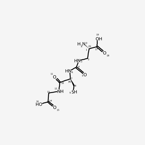 N[C@@H](CNC(=O)N[C@@H](CS)C(=O)NCC(=O)O)C(=O)O